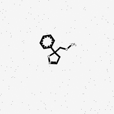 COCC1(c2ccccc2)C[C]=NO1